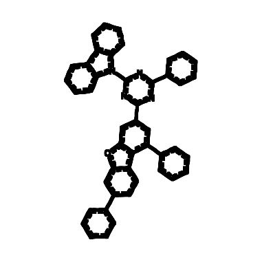 c1ccc(-c2ccc3c(c2)oc2cc(-c4nc(-c5ccccc5)nc(-n5c6ccccc6c6ccccc65)n4)cc(-c4ccccc4)c23)cc1